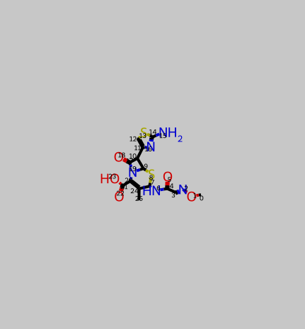 CON=CC(=O)NC1SC2C(c3csc(N)n3)C(=O)N2C(C(=O)O)=C1C